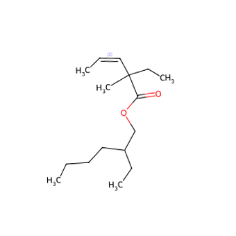 C/C=C\C(C)(CC)C(=O)OCC(CC)CCCC